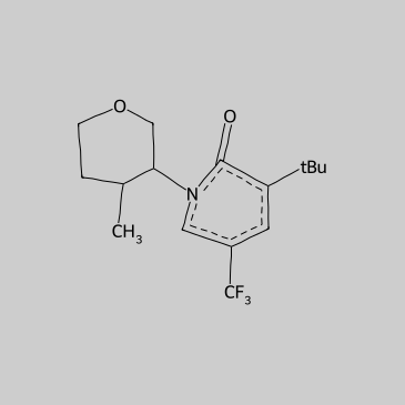 CC1CCOCC1n1cc(C(F)(F)F)cc(C(C)(C)C)c1=O